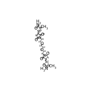 CC(CSC1CC(=O)N(CCOCCOCCN2C(=O)CC(SCC(C)C(N)=O)C2=O)C1=O)C(N)=O